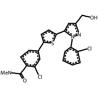 CNC(=O)c1ccc(-c2ccc(-c3cc(CO)nn3-c3ccccc3Cl)s2)cc1Cl